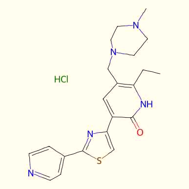 CCc1[nH]c(=O)c(-c2csc(-c3ccncc3)n2)cc1CN1CCN(C)CC1.Cl